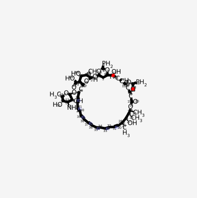 CO[C@]12C[C@@H]3C[C@@H](OC(P)O3)[C@H](O)CC[C@@H]3C[C@H](CC(=O)O[C@@H](C)[C@H](C)[C@H](O)[C@@H](C)/C=C/C=C/C=C/C=C/C=C/C=C/C=C/[C@H](O[C@@H]4O[C@H](C)[C@@H](O)[C@H](N)[C@H]4O)C[C@H](O1)[C@H](C(=O)O)[C@@H](O)C2)OC(P)O3